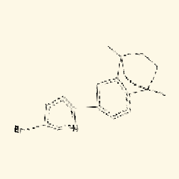 CC12CCC(C)(CC1)c1cc(-c3ccc(Br)cn3)ccc12